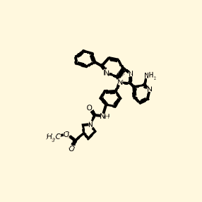 COC(=O)C1CCN(C(=O)Nc2ccc(-n3c(-c4cccnc4N)nc4ccc(-c5ccccc5)nc43)cc2)C1